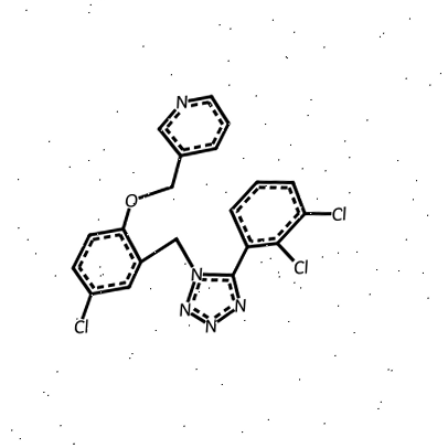 Clc1ccc(OCc2cccnc2)c(Cn2nnnc2-c2cccc(Cl)c2Cl)c1